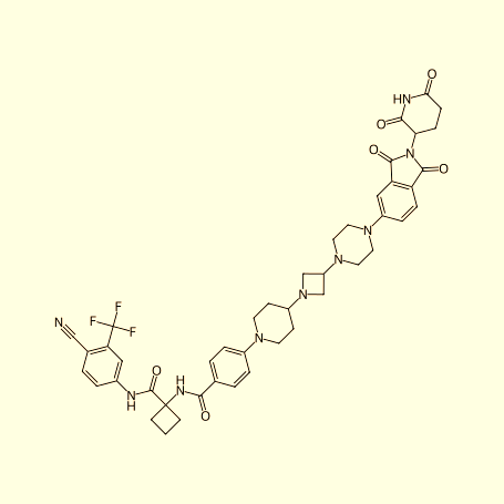 N#Cc1ccc(NC(=O)C2(NC(=O)c3ccc(N4CCC(N5CC(N6CCN(c7ccc8c(c7)C(=O)N(C7CCC(=O)NC7=O)C8=O)CC6)C5)CC4)cc3)CCC2)cc1C(F)(F)F